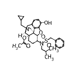 CC(=O)O[C@@]12CCC(N(CC(C)C)S(=O)(=O)Cc3ccccc3)C3Oc4c(O)ccc5c4[C@@]31CCN(CC1CC1)[C@@H]2C5